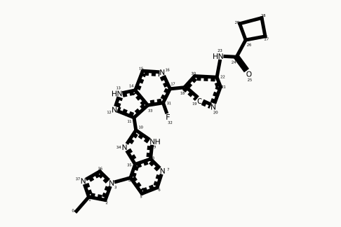 Cc1cn(-c2ccnc3[nH]c(-c4n[nH]c5cnc(-c6cncc(NC(=O)C7CCC7)c6)c(F)c45)nc23)cn1